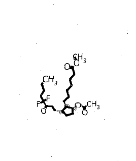 CCCCC(F)(F)C(=O)CC[C@H]1CC[C@H](OC(C)=O)[C@@H]1CCCCCCC(=O)OC